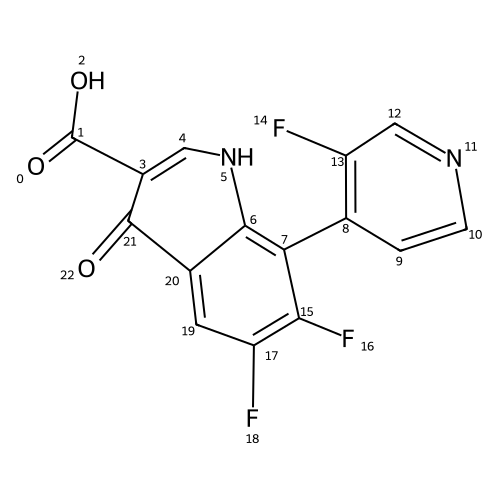 O=C(O)c1c[nH]c2c(-c3ccncc3F)c(F)c(F)cc2c1=O